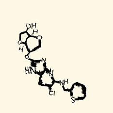 O[C@@H]1CO[C@H]2[C@@H]1OC[C@H]2Oc1nc2nc(NCc3cccs3)c(Cl)cc2[nH]1